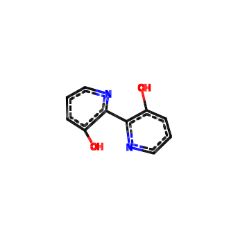 Oc1cccnc1-c1ncccc1O